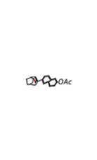 CC(=O)Oc1ccc2cc(C3=CC4CCC(C3)N4C)ccc2c1